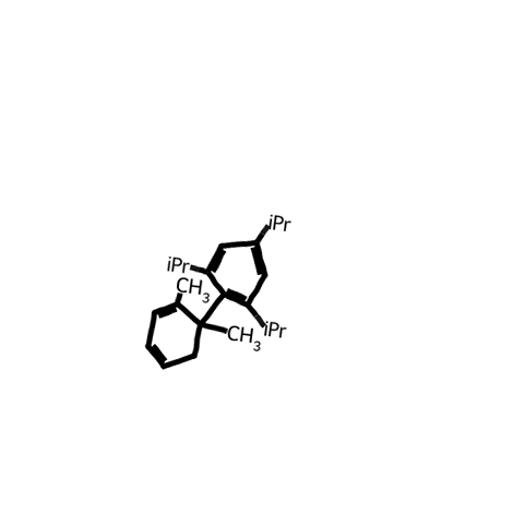 CC1=CC=CCC1(C)c1c(C(C)C)cc(C(C)C)cc1C(C)C